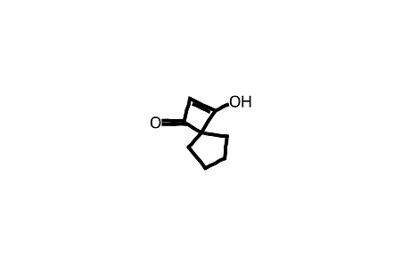 O=C1C=C(O)C12CCCC2